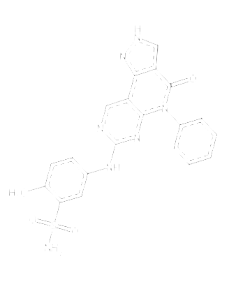 Cc1ccc(Nc2ncc3c4n[nH]cc4c(=O)n(-c4ccccc4)c3n2)cc1S(N)(=O)=O